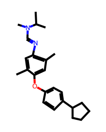 Cc1cc(Oc2ccc(C3CCCC3)cc2)c(C)cc1N=CN(C)C(C)C